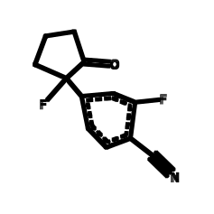 N#Cc1ccc(C2(F)CCCC2=O)cc1F